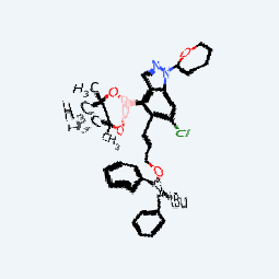 CC1(C)OB(c2c(CCCO[Si](c3ccccc3)(c3ccccc3)C(C)(C)C)c(Cl)cc3c2cnn3C2CCCCO2)OC1(C)C